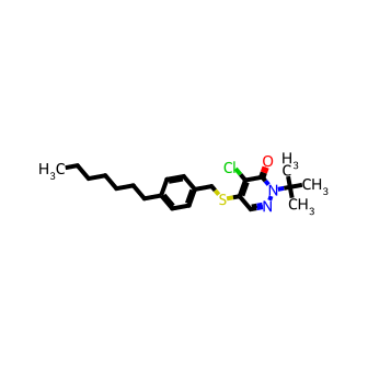 CCCCCCCc1ccc(CSc2cnn(C(C)(C)C)c(=O)c2Cl)cc1